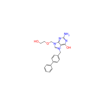 Nc1nc(O)c2c(n1)n(COCCO)c[n+]2Cc1ccc(-c2ccccc2)cc1